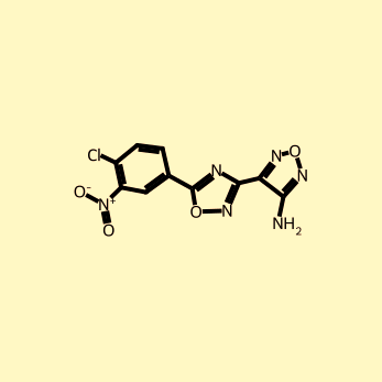 Nc1nonc1-c1noc(-c2ccc(Cl)c([N+](=O)[O-])c2)n1